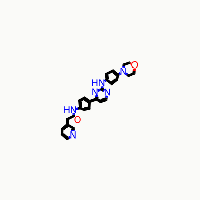 O=C(Cc1cccnc1)Nc1ccc(-c2ccnc(Nc3ccc(N4CCOCC4)cc3)n2)cc1